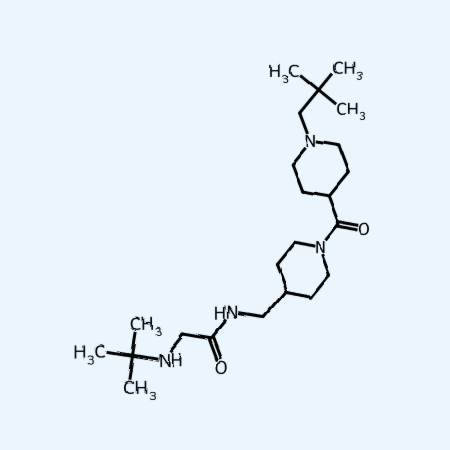 CC(C)(C)CN1CCC(C(=O)N2CCC(CNC(=O)CNC(C)(C)C)CC2)CC1